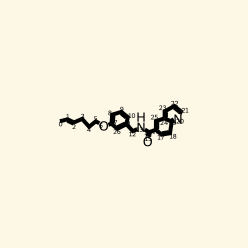 CC=CCCCOc1cccc(CNC(=O)c2ccc3ncccc3c2)c1